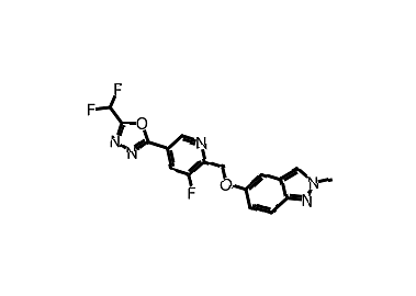 Cn1cc2cc(OCc3ncc(-c4nnc(C(F)F)o4)cc3F)ccc2n1